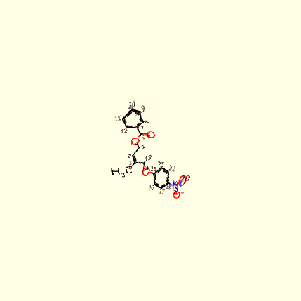 CC(=CCOC(=O)c1ccccc1)COc1ccc([N+](=O)[O-])cc1